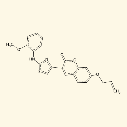 C=CCOc1ccc2cc(-c3csc(Nc4ccccc4OC)n3)c(=O)oc2c1